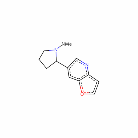 CNN1CCCC1c1cnc2ccoc2c1